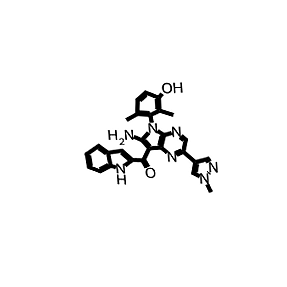 Cc1ccc(O)c(C)c1-n1c(N)c(C(=O)c2cc3ccccc3[nH]2)c2nc(-c3cnn(C)c3)cnc21